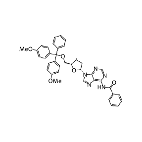 COc1ccc(C(OC[C@H]2[CH]C[C@H](n3cnc4c(NC(=O)c5ccccc5)ncnc43)O2)(c2ccccc2)c2ccc(OC)cc2)cc1